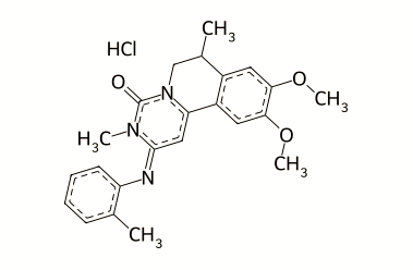 COc1cc2c(cc1OC)C(C)Cn1c-2c/c(=N/c2ccccc2C)n(C)c1=O.Cl